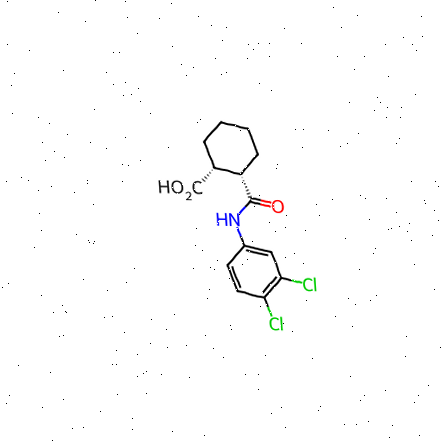 O=C(Nc1ccc(Cl)c(Cl)c1)[C@H]1CCCC[C@H]1C(=O)O